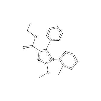 CCOC(=O)c1nc(OC)n(-c2ccccc2C)c1-c1ccccc1